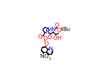 CC(O)C(NC(=O)OC(C)(C)C)C(=O)N1CCCC1C(=O)OCOc1ccc([N+](=O)[O-])c2cccnc12